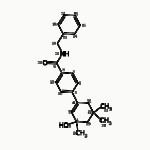 CC1(O)C=C(c2ccc(C(=O)NCc3ccccc3)cc2)CC(C)(C)C1